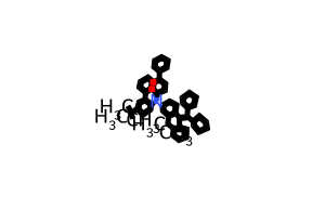 CC(C)(C)c1ccc(N(c2ccc(-c3ccccc3)cc2)c2ccc3c(c2)C(C)(C)c2ccccc2C3=C(c2ccccc2)c2ccccc2)c(-c2ccccc2)c1